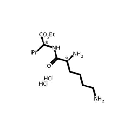 CCOC(=O)[C@@H](NC(=O)[C@@H](N)CCCCN)C(C)C.Cl.Cl